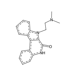 CN(C)CCn1c2ccccc2c2c3ccccc3[nH]c(=O)c21